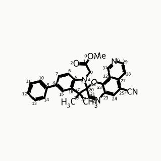 COC(=O)CN1c2ccc(-c3ccccc3)cc2C(C)(C)C12C=Nc1cc(C#N)c3ccncc3c1O2